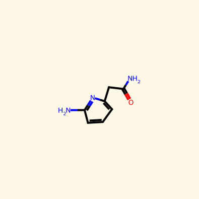 NC(=O)Cc1cccc(N)n1